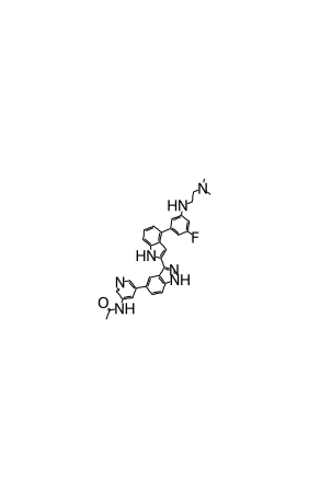 CC(=O)Nc1cncc(-c2ccc3[nH]nc(-c4cc5c(-c6cc(F)cc(NCCN(C)C)c6)cccc5[nH]4)c3c2)c1